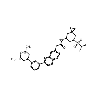 C[C@@H]1CN(c2cccc(-c3ccc4cnc(CC(=O)NC5CN(S(=O)(=O)C(F)F)CC6(CC6)C5)cc4n3)n2)C[C@H](C)O1